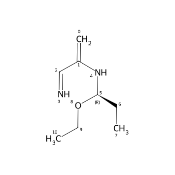 C=C(C=N)N[C@@H](CC)OCC